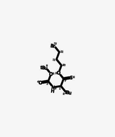 CCC(C)C(NC(=O)OC(C)(C)C)C(=S)OCCCBr